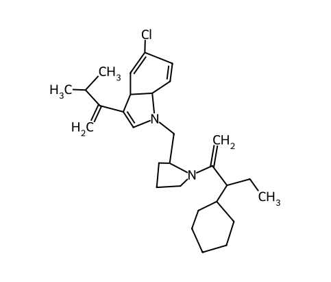 C=C(C1=CN(CC2CCCN2C(=C)C(CC)C2CCCCC2)C2C=CC(Cl)=CC12)C(C)C